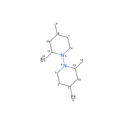 CCC1CCN(N2CCC(C)CC2CC)C(C)C1